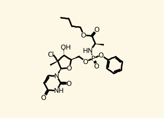 CCCCOC(=O)[C@@H](C)N[P@](=O)(OC[C@H]1O[C@@H](n2ccc(=O)[nH]c2=O)[C@](C)(Cl)[C@@H]1O)Oc1ccccc1